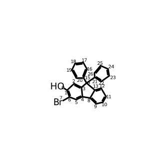 Oc1cc2c(cc1Br)-c1ccccc1C2(c1ccccc1)c1ccccc1